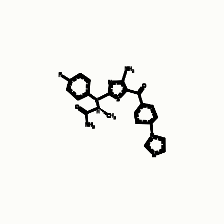 C[C@H](C(N)=O)N(c1ccc(F)cc1)c1nc(N)c(C(=O)c2ccc(-n3ccnc3)cc2)s1